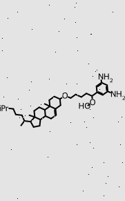 CC(C)CCCC(C)C1CCC2C3CC=C4CC(OCCCCC(OO)c5cc(N)cc(N)c5)CCC4(C)C3CCC12C